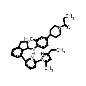 CCC(=O)N1CCC(c2ccc(NC3CCc4cccc(-c5cccc(-n6nc(CC)cc6C)n5)c43)c(C)c2)CC1